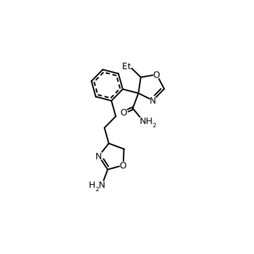 CCC1OC=NC1(C(N)=O)c1ccccc1CCC1COC(N)=N1